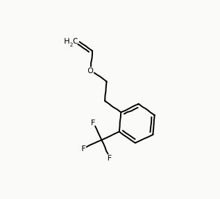 C=COCCc1ccccc1C(F)(F)F